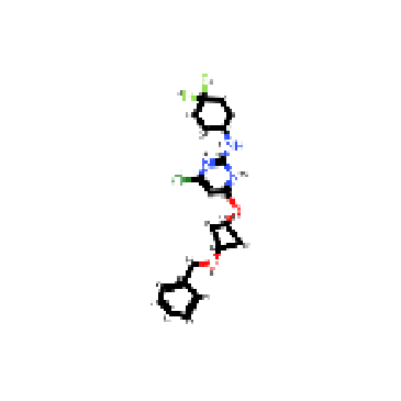 FC1(F)CCC(Nc2nc(Cl)cc(OC3CC(OCc4ccccc4)C3)n2)CC1